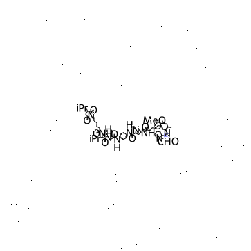 COc1cc(C)c(/N=C\C2CCCCN2C=O)cc1OCCCC(=O)Nc1cc(C(=O)Nc2ccc(NC(=O)CNC(=O)C(NC(=O)CCCCCN3C(=O)CC(C(C)C)C3=O)C(C)C)cc2)n(C)c1